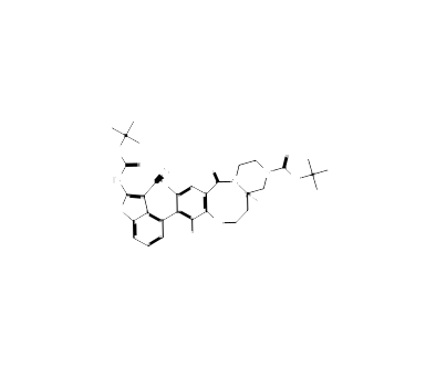 CC(C)(C)OC(=O)Nc1sc2cccc(-c3c(F)cc4c(c3Cl)OCC[C@H]3CN(C(=O)OC(C)(C)C)CCN3C4=O)c2c1C#N